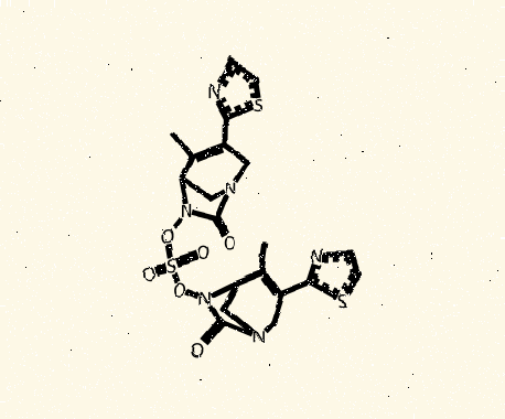 CC1=C(c2nccs2)CN2CC1N(OS(=O)(=O)ON1C(=O)N3CC(c4nccs4)=C(C)C1C3)C2=O